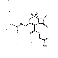 CC(=O)OCC1=C(C(=S)OCC(=O)O)N2C(=O)[C@H](Cl)C2S(=O)(=O)C1